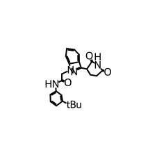 CC(C)(C)c1cccc(NC(=O)Cn2nc(C3CCC(=O)NC3=O)c3ccccc32)c1